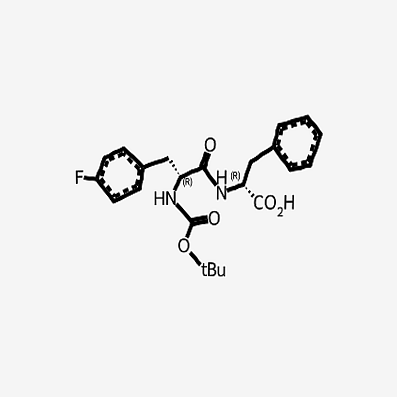 CC(C)(C)OC(=O)N[C@H](Cc1ccc(F)cc1)C(=O)N[C@H](Cc1ccccc1)C(=O)O